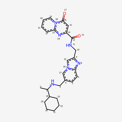 CC(NCc1ccc2nc(CNC(=O)c3cc(=O)n4ccccc4n3)cn2c1)C1CCCCC1